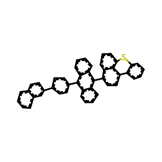 c1ccc2c(c1)Sc1cccc3c(-c4c5ccccc5c(-c5ccc(-c6ccc7ccccc7c6)cc5)c5ccccc45)ccc-2c13